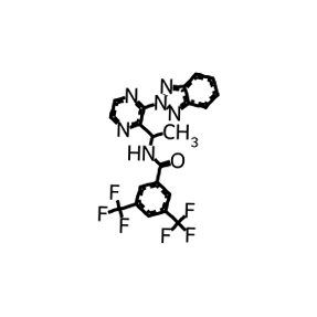 CC(NC(=O)c1cc(C(F)(F)F)cc(C(F)(F)F)c1)c1nccnc1-n1nc2ccccc2n1